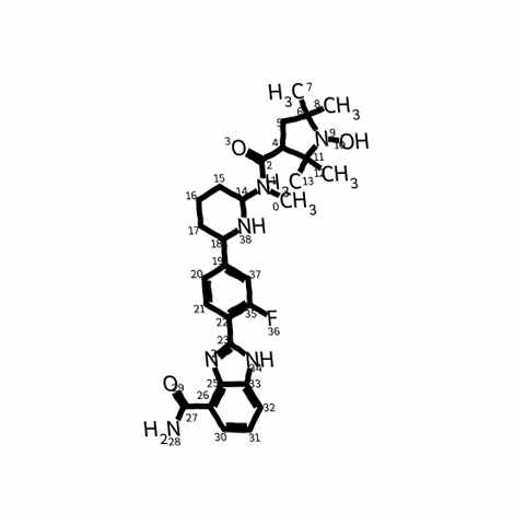 CN(C(=O)C1CC(C)(C)N(O)C1(C)C)C1CCCC(c2ccc(-c3nc4c(C(N)=O)cccc4[nH]3)c(F)c2)N1